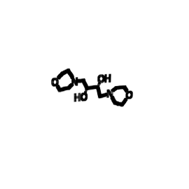 O[C@H](CN1CCOCC1)[C@H](O)CN1CCOCC1